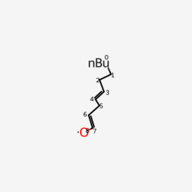 CCCCCCC=CCC=C[O]